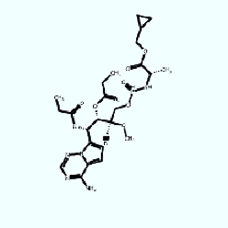 CCC(=O)O[C@@H](c1ccc2c(N)ncnn12)[C@H](OC(=O)CC)[C@@](C#N)(CO[PH](=O)N[C@@H](C)C(=O)OCC1CC1)OC